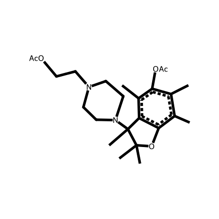 CC(=O)OCCN1CCN(C2(C)c3c(C)c(OC(C)=O)c(C)c(C)c3OC2(C)C)CC1